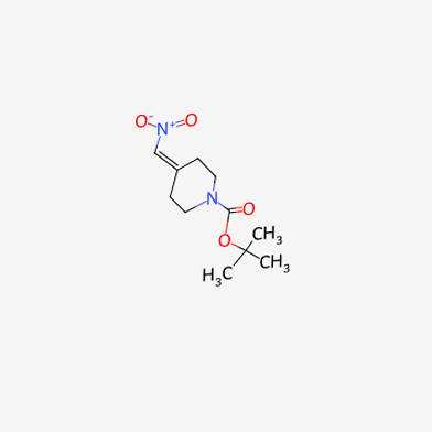 CC(C)(C)OC(=O)N1CCC(=C[N+](=O)[O-])CC1